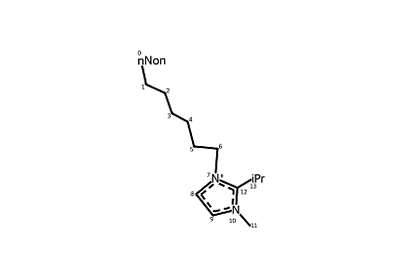 CCCCCCCCCCCCCCC[n+]1ccn(C)c1C(C)C